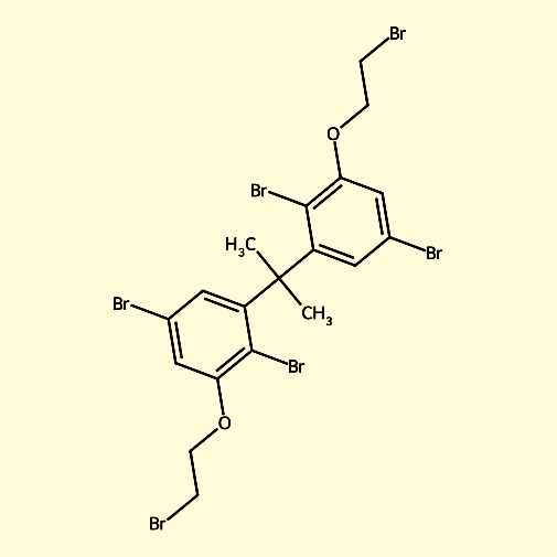 CC(C)(c1cc(Br)cc(OCCBr)c1Br)c1cc(Br)cc(OCCBr)c1Br